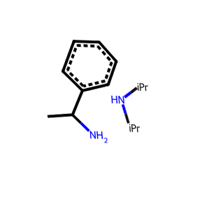 CC(C)NC(C)C.CC(N)c1ccccc1